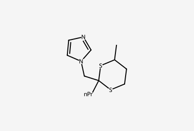 CCCC1(Cn2ccnc2)SCCC(C)S1